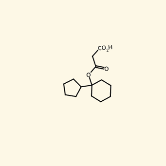 O=C(O)CC(=O)OC1(C2CCCC2)CCCCC1